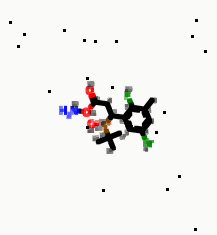 Cc1cc(Br)cc(C(CC(=O)ON)[S@@+]([O-])C(C)(C)C)c1F